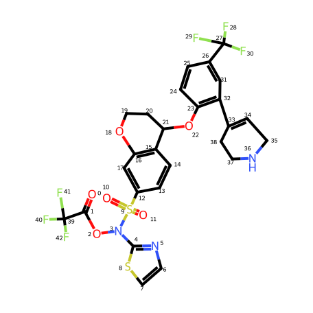 O=C(ON(c1nccs1)S(=O)(=O)c1ccc2c(c1)OCCC2Oc1ccc(C(F)(F)F)cc1C1=CCNCC1)C(F)(F)F